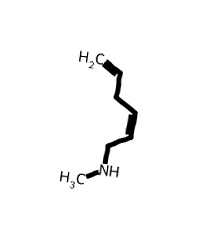 C=CC/C=C\CNC